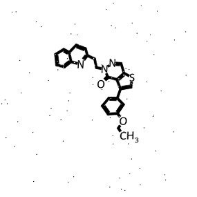 CCOc1cccc(-c2csc3cnn(CCc4ccc5ccccc5n4)c(=O)c23)c1